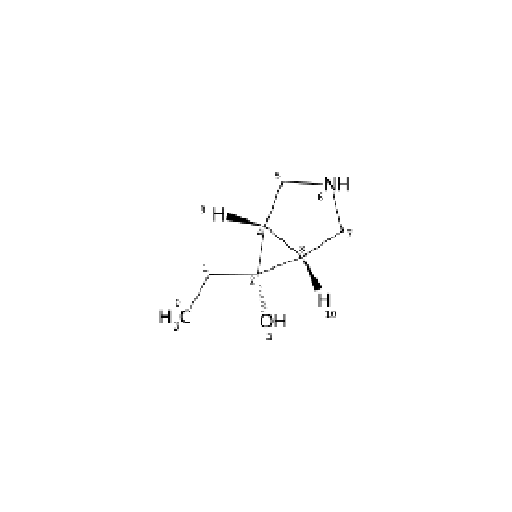 CC[C@@]1(O)[C@@H]2CNC[C@@H]21